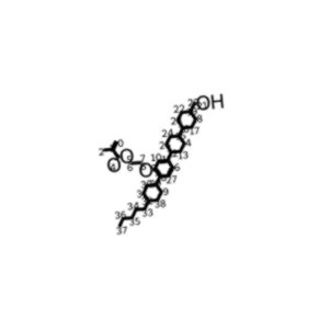 C=C(C)C(=O)OCCOc1cc(C2CCC(C3CCC(CO)CC3)CC2)ccc1C1CCC(CCCCC)CC1